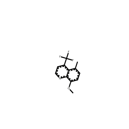 COc1ccc(C)c2c(C(F)(F)F)ccnc12